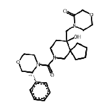 O=C1COCCN1CC1(O)CCN(C(=O)N2CCOC[C@H]2c2ccccc2)CC12CCCC2